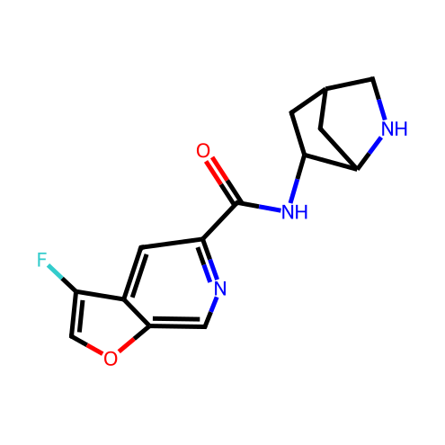 O=C(NC1CC2CNC1C2)c1cc2c(F)coc2cn1